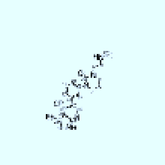 CCNCCN1CCCN(c2cccc(-c3cnc4[nH]cc(CC)c4c3Cl)c2)C1=O